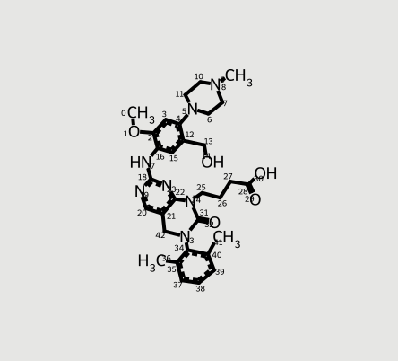 COc1cc(N2CCN(C)CC2)c(CO)cc1Nc1ncc2c(n1)N(CCCC(=O)O)C(=O)N(c1c(C)cccc1C)C2